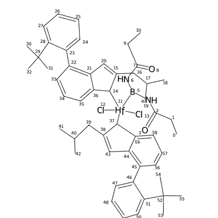 CCC(=O)N[B](NC(=O)CC)[Hf]([Cl])([Cl])([CH]1C(CC(C)C)=Cc2c(-c3ccccc3C(C)(C)C)cccc21)[CH]1C(CC(C)C)=Cc2c(-c3ccccc3C(C)(C)C)cccc21